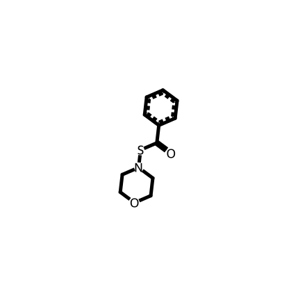 O=C(SN1CCOCC1)c1ccccc1